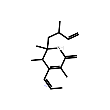 C=CC(C)CC1(C)NC(=C)C(C)=C(/C=C\C)C1C